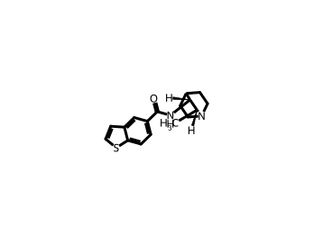 C[C@@H]1[C@H](NC(=O)c2ccc3sccc3c2)C2CCN1CC2